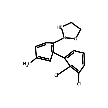 Cc1ccc(N2BCCO2)c(-c2cccc(Cl)c2Cl)c1